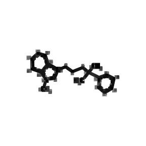 C[n+]1cn(CCCC(C)(C)c2ccccc2)c2ccccc21